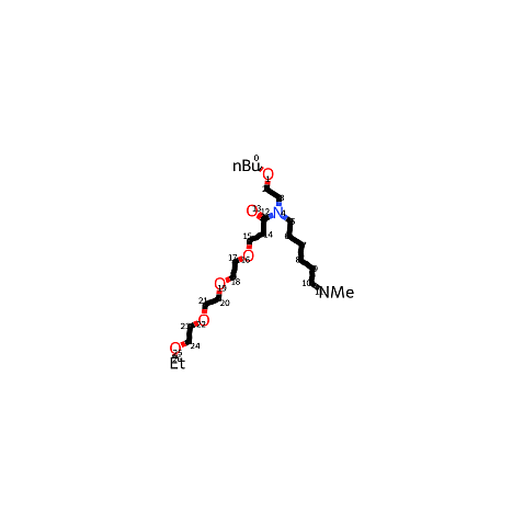 CCCCOCCN(CCCCCCNC)C(=O)CCOCCOCCOCCOCC